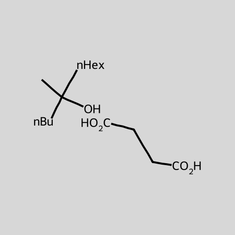 CCCCCCC(C)(O)CCCC.O=C(O)CCC(=O)O